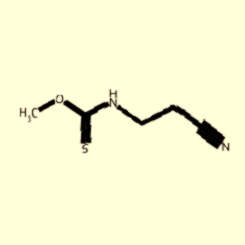 COC(=S)NCCC#N